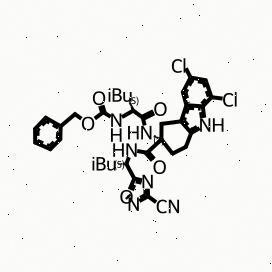 CC[C@H](C)C(NC(=O)OCc1ccccc1)C(=O)N[C@@]1(C(=O)NC(c2nc(C#N)no2)[C@@H](C)CC)CCc2[nH]c3c(Cl)cc(Cl)cc3c2C1